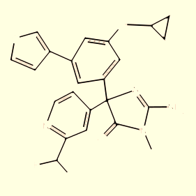 CN1C(=O)C(c2cc(OC3CC3)cc(-c3ccoc3)c2)(c2ccnc(C(F)F)c2)N=C1N